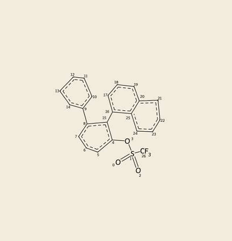 O=S(=O)(Oc1cccc(-c2ccccc2)c1-c1cccc2ccccc12)C(F)(F)F